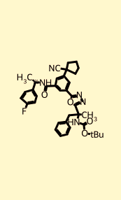 C[C@@H](NC(=O)c1cc(-c2nnc(C(C)(Cc3ccccc3)NC(=O)OC(C)(C)C)o2)cc(C2(C#N)CCCC2)c1)c1ccc(F)cc1